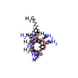 CCCCCCc1ccc(C(=O)N2CC(N)CC2C(=O)N(C)C2C(=O)NC(C)C(=O)NC(C(=O)NCC#N)Cc3ccc(OCCN)c(c3)-c3cc2ccc3OCCN)c(C)c1